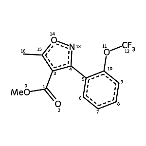 COC(=O)c1c(-c2ccccc2OC(F)(F)F)noc1C